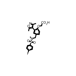 Cc1noc(C)c1-c1cc(CN(C)S(=O)(=O)c2ccc(F)cc2)ccc1OCC(=O)O